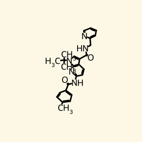 Cc1ccc(C(=O)Nc2ccc3c(C(=O)NCc4ccccn4)cn(C(C)(C)C)c3n2)cc1